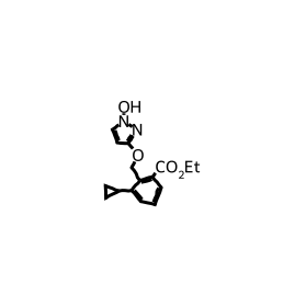 CCOC(=O)c1cccc(C2CC2)c1COc1ccn(O)n1